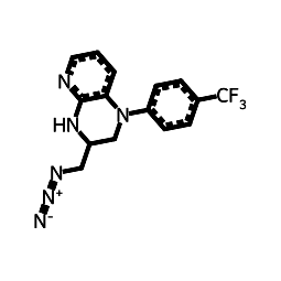 [N-]=[N+]=NCC1CN(c2ccc(C(F)(F)F)cc2)c2cccnc2N1